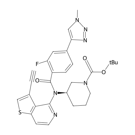 C#Cc1csc2ccnc(N(C(=O)c3ccc(-c4cn(C)nn4)cc3F)[C@@H]3CCCN(C(=O)OC(C)(C)C)C3)c12